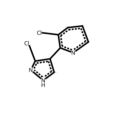 Clc1cccnc1-c1[c][nH]nc1Cl